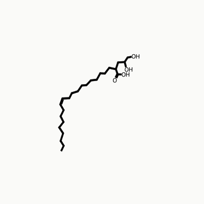 CCCCCCCC/C=C\CCCCCCCCCCC(CC(O)CO)C(=O)O